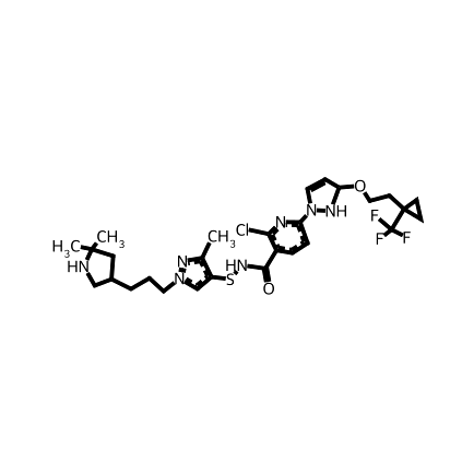 Cc1nn(CCCC2CNC(C)(C)C2)cc1SNC(=O)c1ccc(N2C=CC(OCCC3(C(F)(F)F)CC3)N2)nc1Cl